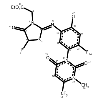 CCOC(=O)CN1C(=O)C(F)SC1=Nc1cc(-n2c(=O)cc(C(F)(F)F)n(C)c2=O)c(F)cc1Cl